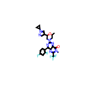 CC1CN(c2nc(-c3ccc(F)cc3F)c3nc(C(F)(F)F)n(C)c(=O)c3n2)CC(c2cnn(C3CC3)c2)O1